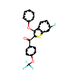 O=C(c1ccc(OC(F)(F)F)cc1)c1sc2cc(F)ccc2c1Oc1[c]cccc1